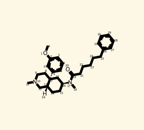 COc1cccc([C@@]23CCN(C)C[C@H]2CC[C@H](N(C)C(=O)CCCCCc2ccccc2)C3)c1